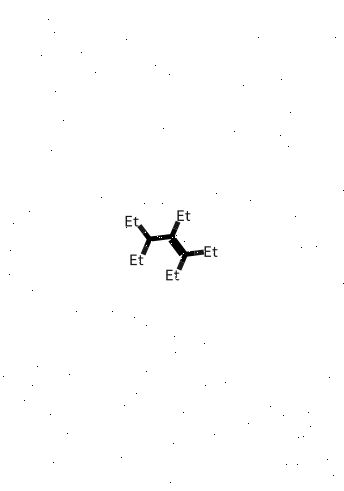 CCC(CC)=C(CC)C(CC)CC